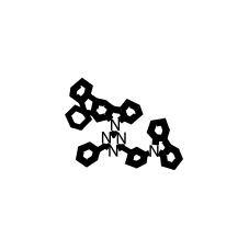 c1ccc(-c2nc(-c3cccc(-n4c5ccccc5c5ccccc54)c3)nc(-n3c4ccccc4c4cc5c(cc43)C3(CCCCC3)c3ccccc3-5)n2)cc1